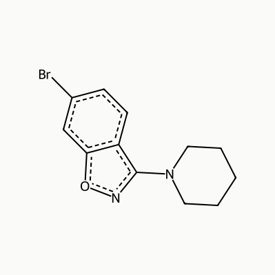 Brc1ccc2c(N3CCCCC3)noc2c1